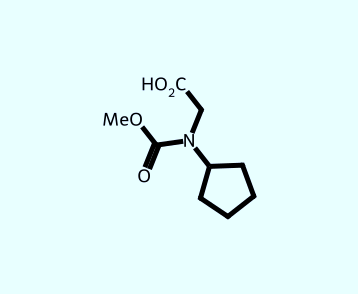 COC(=O)N(CC(=O)O)C1CCCC1